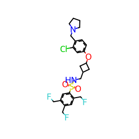 O=S(=O)(NCC1CC(Oc2ccc(CN3CCCC3)c(Cl)c2)C1)c1cc(CF)c(CF)cc1CF